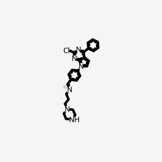 Clc1nc(-c2ccccc2)c2ccn(-c3ccc(/C=N/CCCN4CCNCC4)cc3)c2n1